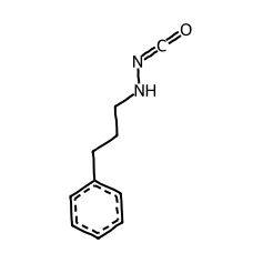 O=C=NNCCCc1ccccc1